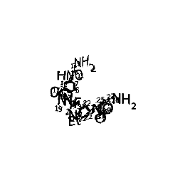 CCN(CCn1c2ccc(NC(=O)CN)cc2c(=O)n1C)c1ccc(N2C[C@H](CN)OC2=O)cc1F